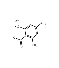 Cc1cc(C)c(S(=O)[O-])c(C)c1.[Cl+]